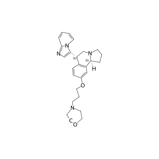 c1ccn2c([C@@H]3CN4CCC[C@H]4c4cc(OCCCN5CCOCC5)ccc43)cnc2c1